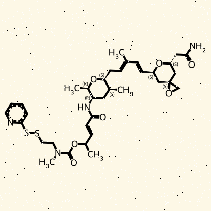 CC(C=C[C@@H]1C[C@]2(CO2)C[C@@H](CC(N)=O)O1)=CC[C@@H]1O[C@H](C)[C@H](NC(=O)C=CC(C)OC(=O)N(C)CCSSc2ccccn2)C[C@@H]1C